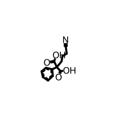 N#CCCCC(C(=O)O)(C(=O)O)c1ccccc1